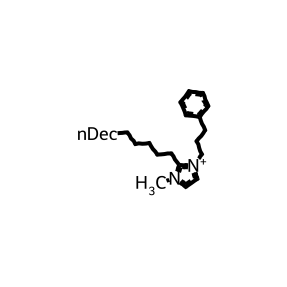 CCCCCCCCCCCCCCCc1n(C)cc[n+]1CCCc1ccccc1